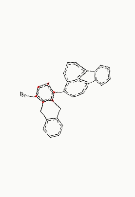 Brc1ccc(-c2ccc3c4c(cccc24)-c2ccccc2-3)c2c1C1c3ccccc3C2c2ccccc21